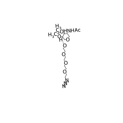 CC(=O)N[C@@H]1CO[C@H](COCCOCCOCCOCCN=[N+]=[N-])[C@@H]2OC(C)(C)O[C@@H]21